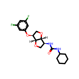 O=C(NC1CCCCC1)N[C@H]1CO[C@H]2[C@@H]1OC[C@@H]2Oc1cc(F)cc(F)c1